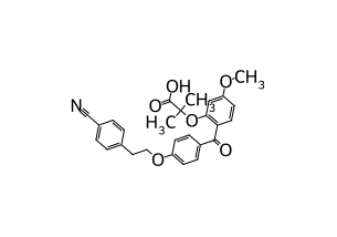 COc1ccc(C(=O)c2ccc(OCCc3ccc(C#N)cc3)cc2)c(OC(C)(C)C(=O)O)c1